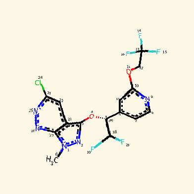 Cn1nc(O[C@H](c2ccnc(OCC(F)(F)F)c2)C(F)F)c2cc(Cl)nnc21